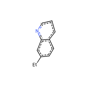 CCc1ccc2cc[c]nc2c1